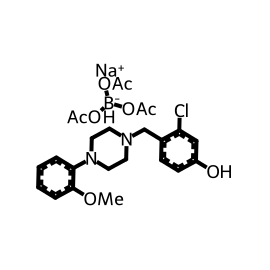 CC(=O)O[BH-](OC(C)=O)OC(C)=O.COc1ccccc1N1CCN(Cc2ccc(O)cc2Cl)CC1.[Na+]